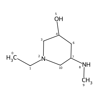 CCN1CC(O)CC(NC)C1